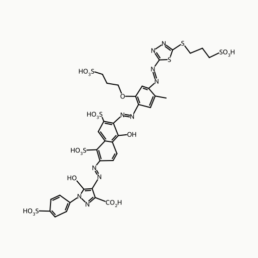 Cc1cc(N=Nc2c(S(=O)(=O)O)cc3c(S(=O)(=O)O)c(N=Nc4c(C(=O)O)nn(-c5ccc(S(=O)(=O)O)cc5)c4O)ccc3c2O)c(OCCCS(=O)(=O)O)cc1N=Nc1nnc(SCCCS(=O)(=O)O)s1